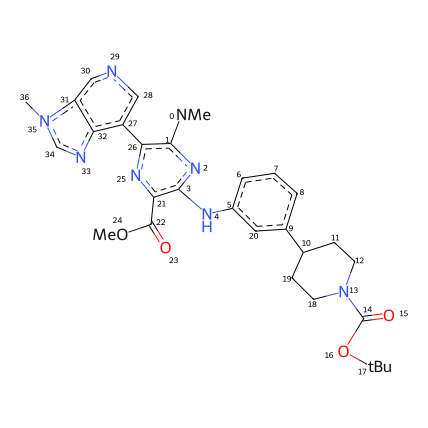 CNc1nc(Nc2cccc(C3CCN(C(=O)OC(C)(C)C)CC3)c2)c(C(=O)OC)nc1-c1cncc2c1ncn2C